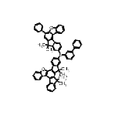 CC1(C)c2cc(N(c3cccc(-c4ccccc4)c3)c3ccc4c(c3)C(C)(C)c3c5c(c6c(oc7ccccc76)c3-4)-c3ccccc3C5(C)C)ccc2-c2c1cc(-c1ccccc1)c1oc3ccccc3c21